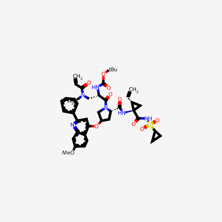 C=CC(=O)N(C)C[C@H](NC(=O)OC(C)(C)C)C(=O)N1CC(Oc2cc(-c3ccccc3)nc3cc(OC)ccc23)C[C@H]1C(=O)N[C@]1(C(=O)NS(=O)(=O)C2CC2)C[C@H]1C=C